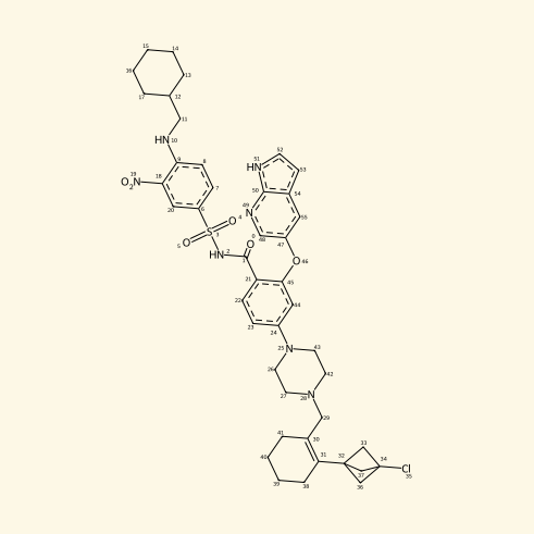 O=C(NS(=O)(=O)c1ccc(NCC2CCCCC2)c([N+](=O)[O-])c1)c1ccc(N2CCN(CC3=C(C45CC(Cl)(C4)C5)CCCC3)CC2)cc1Oc1cnc2[nH]ccc2c1